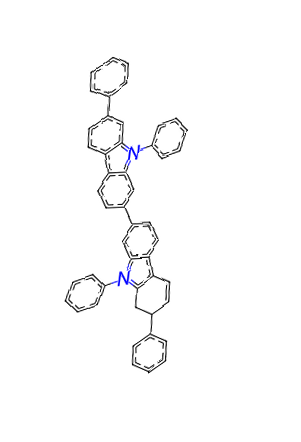 C1=CC(c2ccccc2)Cc2c1c1ccc(-c3ccc4c5ccc(-c6ccccc6)cc5n(-c5ccccc5)c4c3)cc1n2-c1ccccc1